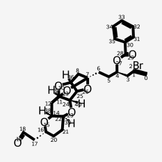 C=C(Br)C[C@@H](CC[C@@]12C[C@H]3O[C@H]4C(O1)[C@H]1O[C@@H](CC=O)CC[C@@H]1O[C@H]4C3O2)OC(=O)c1ccccc1